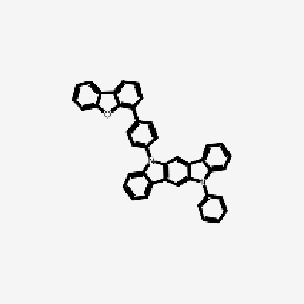 c1ccc(-n2c3ccccc3c3cc4c(cc32)c2ccccc2n4-c2ccc(-c3cccc4c3oc3ccccc34)cc2)cc1